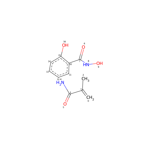 C=C(C)C(N)=O.O=C(NO)c1ccccc1O